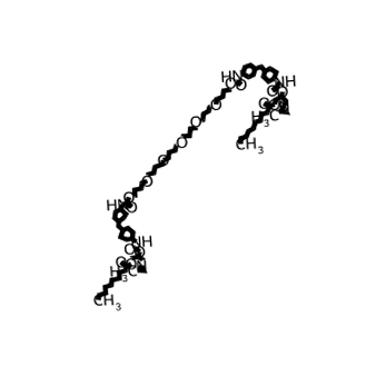 CCCCCCCCCC(=O)OCC(CN1CC1C)OC(=O)NC1CCC(CC2CCC(NC(=O)OCCCCOCCCCOCCCCOCCCCOCCCCOCCCCOC(=O)NC3CCC(CC4CCC(NC(=O)OC(COC(=O)CCCCCCCCC)CN5CC5C)CC4)CC3)CC2)CC1